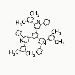 Cc1cc(C)cc(-c2cc(-c3cc(-c4cc(-c5ccccc5)nc(-c5cc(C)cc(C)c5)c4)cc(-c4cc(-c5ccccc5)nc(-c5cc(C)cc(C)c5)c4)c3)cc(-c3ccccc3)n2)c1